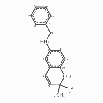 CCCC1(C)C=Cc2cc(NCc3ccccc3)ccc2O1